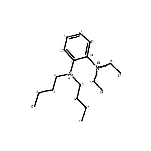 CCC[CH2][Al]([CH2]CCC)[c]1ccccc1N(CC)CC